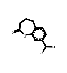 CCC(CC)c1ccc2c(c1)NC(=O)CCC2